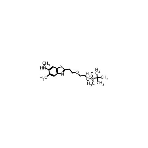 CNc1cc2sc(CCOCCO[Si](C)(C)C(C)(C)C)nc2cc1C